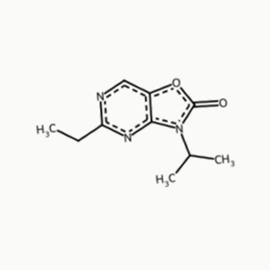 CCc1ncc2oc(=O)n(C(C)C)c2n1